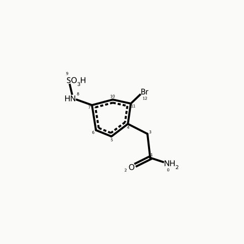 NC(=O)Cc1ccc(NS(=O)(=O)O)cc1Br